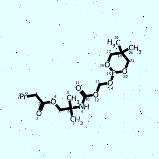 CC(C)CC(=O)OCC(C)(C)NC(=O)OCOP1OCC(C)(C)CO1